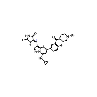 CC(C)N1CCN(C(=O)c2cc(-c3cc(NC4CC4)n4ncc(/C=C5\NC(=O)NC5=O)c4n3)ccc2F)CC1